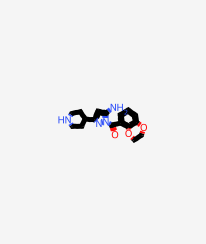 Nc1cc(C2CCNCC2)nn1C(=O)c1cccc2c1OCCO2